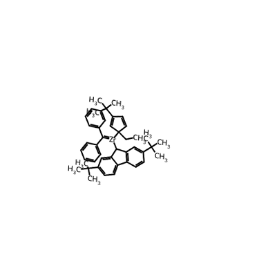 CC[C]1([Zr](=[C](c2ccccc2)c2ccccc2)[CH]2c3cc(C(C)(C)C)ccc3-c3ccc(C(C)(C)C)cc32)C=CC(C(C)(C)C)=C1